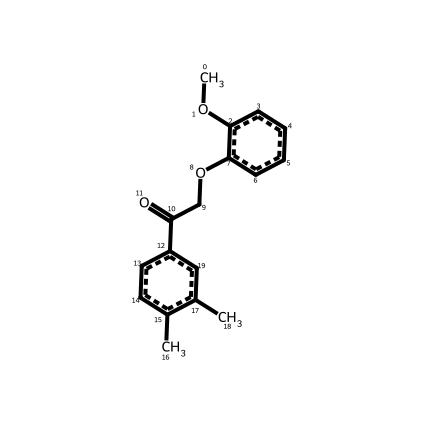 COc1ccccc1OCC(=O)c1ccc(C)c(C)c1